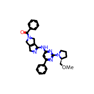 COC[C@@H]1CCCN1c1nc(NC2=NCC3=C2CN(C(=O)c2ccccc2)C3)cc(-c2ccccc2)n1